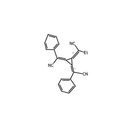 CC/C(C#N)=C1/C(=C(C#N)c2ccccc2)/C1=C(/C#N)c1ccccc1